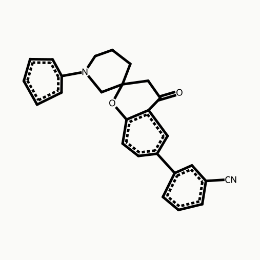 N#Cc1cccc(-c2ccc3c(c2)C(=O)CC2(CCCN(c4ccccc4)C2)O3)c1